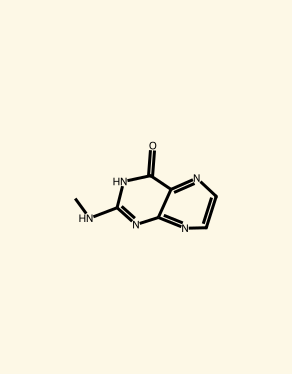 CNc1nc2nccnc2c(=O)[nH]1